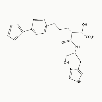 O=C(O)[C@@H](O)[C@@H](CCCc1ccc(-c2ccccc2)cc1)C(=O)NC(CO)Cc1c[nH]cn1